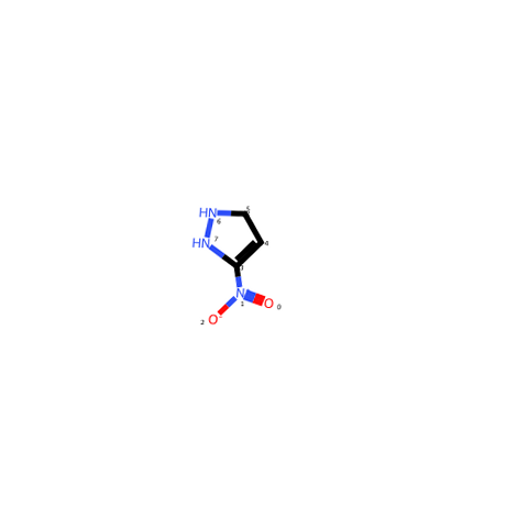 O=[N+]([O-])C1=C[C]NN1